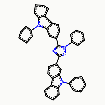 c1ccc(-n2nc(-c3ccc4c5ccccc5n(-c5ccccc5)c4c3)nc2-c2ccc3c4ccccc4n(-c4ccccc4)c3c2)cc1